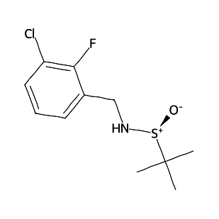 CC(C)(C)[S@+]([O-])NCc1cccc(Cl)c1F